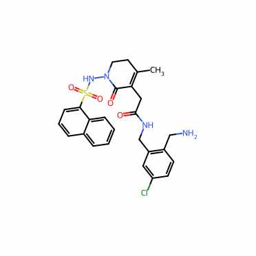 CC1=C(CC(=O)NCc2cc(Cl)ccc2CN)C(=O)N(NS(=O)(=O)c2cccc3ccccc23)CC1